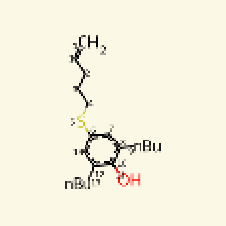 C=CCCCSc1cc(CCCC)c(O)c(CCCC)c1